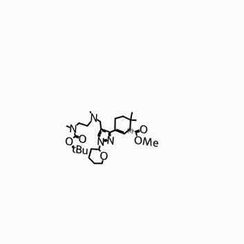 COC(=O)[C@@H]1C=C(c2nn(C3CCCCO3)cc2CN(C)CCN(C)C(=O)OC(C)(C)C)CCC1(C)C